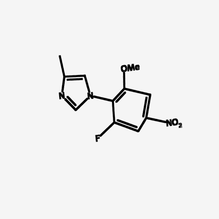 COc1cc([N+](=O)[O-])cc(F)c1-n1cnc(C)c1